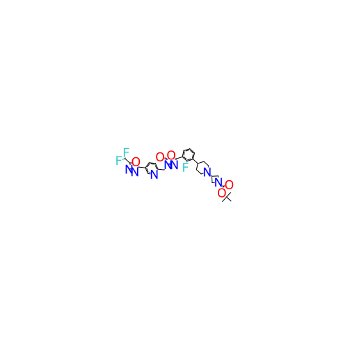 CC(C)(C)OC(=O)N1CC(N2CCC(c3cccc(-c4nn(Cc5ccc(-c6nnc(C(F)F)o6)cn5)c(=O)o4)c3F)CC2)C1